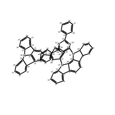 C1=CC2c3ccc4c5ccccc5n(-c5cccc(-c6cc7c8ccccc8n8c9ccccc9c(c6)c78)c5)c4c3N(c3nc(-c4ccccc4)nc(-c4ccccc4)n3)C2C=C1